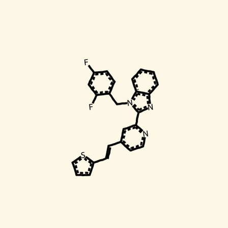 Fc1ccc(Cn2c(-c3cc(/C=C/c4cccs4)ccn3)nc3ccccc32)c(F)c1